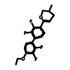 CCOc1ccc(-c2ccc(C3=CCC(C)CO3)c(F)c2F)c(F)c1F